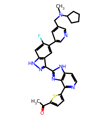 CC(=O)c1ccc(-c2nccc3[nH]c(-c4n[nH]c5cc(F)c(-c6cncc(CN(C)C7CCCC7)c6)cc45)nc23)s1